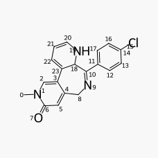 Cn1cc2c(cc1=O)CN=C(c1ccc(Cl)cc1)C1NC=CC=C21